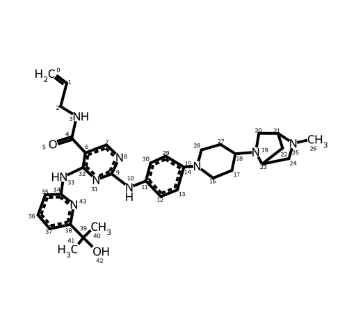 C=CCNC(=O)c1cnc(Nc2ccc(N3CCC(N4CC5CC4CN5C)CC3)cc2)nc1Nc1cccc(C(C)(C)O)n1